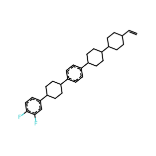 C=CC1CCC(C2CCC(c3ccc(C4CCC(c5ccc(F)c(F)c5)CC4)cc3)CC2)CC1